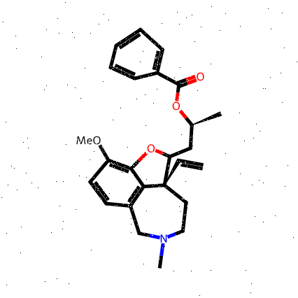 C=C[C@@]12CCN(C)Cc3ccc(OC)c(c31)OC2C[C@H](C)OC(=O)c1ccccc1